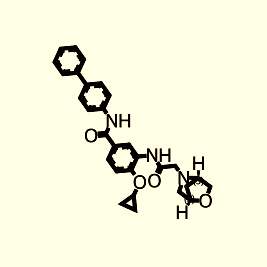 O=C(CN1C[C@@H]2C[C@H]1CO2)Nc1cc(C(=O)Nc2ccc(-c3ccccc3)cc2)ccc1OC1CC1